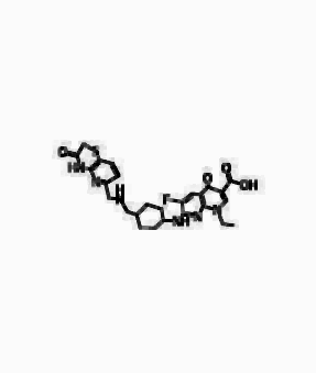 CCn1cc(C(=O)O)c(=O)c2cc(F)c(NC3CCC(CNCc4ccc5c(n4)NC(=O)CS5)CC3)nc21